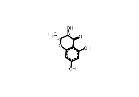 C[C@H]1Oc2cc(O)cc(O)c2C(=O)[C@@H]1O